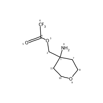 NC1(COC(=O)C(F)(F)F)CCOCC1